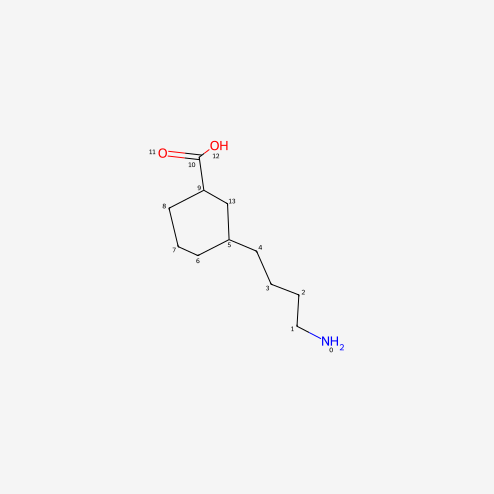 NCCCCC1CCCC(C(=O)O)C1